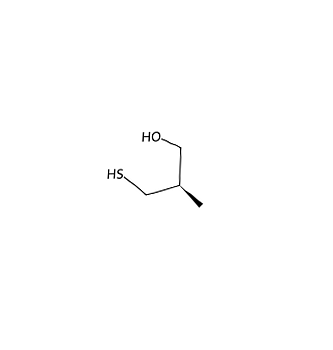 C[C@H](CO)CS